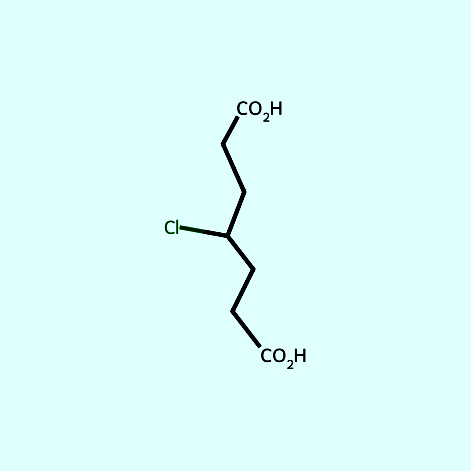 O=C(O)CCC(Cl)CCC(=O)O